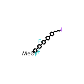 COc1ccc(-c2ccc(-c3ccc(C4=CCC(C5CCC(CC/C=C/I)CC5)CC4)cc3F)cc2)c(F)c1F